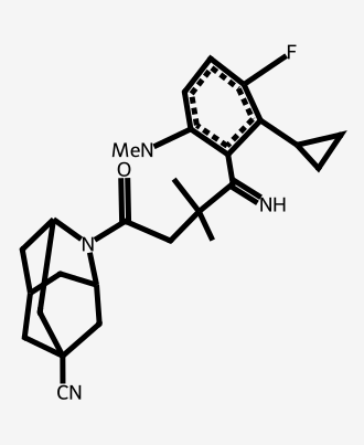 CNc1ccc(F)c(C2CC2)c1C(=N)C(C)(C)CC(=O)N1C2CC3CC1CC(C#N)(C3)C2